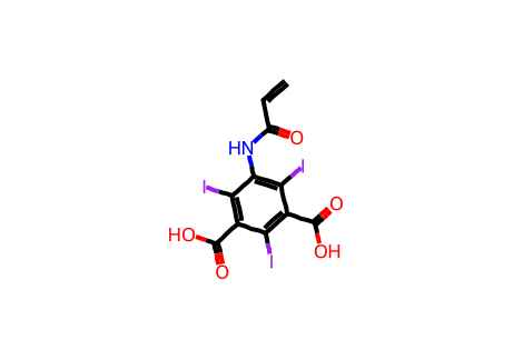 C=CC(=O)Nc1c(I)c(C(=O)O)c(I)c(C(=O)O)c1I